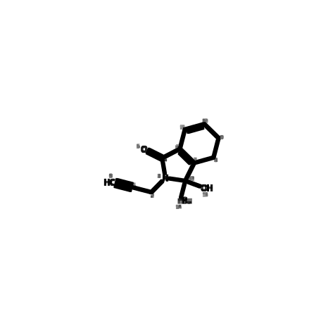 C#CCN1C(=O)C2=C(CCC=C2)C1(O)CCCC